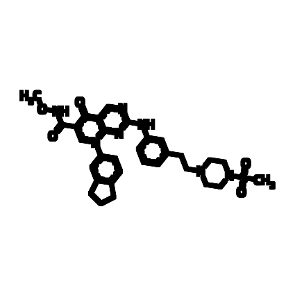 CONC(=O)c1cn(-c2ccc3c(c2)CCC3)c2nc(Nc3cccc(CCN4CCN(S(C)(=O)=O)CC4)c3)ncc2c1=O